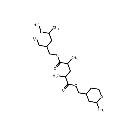 CCC(COC(=O)C(C)CC(C)C(=O)OCC1CCOC(C)C1)CC(C)OC